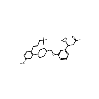 COc1ccc(CCCC(C)(C)C)c(N2CCC(COc3cccc(C(CC(C)=O)C4CC4)c3)CC2)c1